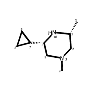 C[C@@H]1CN(C)C[C@H](C2CC2)N1